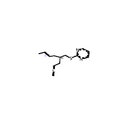 C=C=CC[C@@H](C/C=C/C)CSc1ncccn1